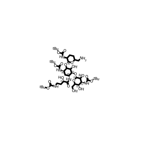 CC(C)(C)OC(=O)NCC[C@H](O)C(=O)N[C@@H]1C[C@@H](NC(=O)OC(C)(C)C)C(O[C@H]2OC(CN)CCC2NC(=O)OC(C)(C)C)C(O)[C@H]1O[C@H]1OC(CO)[C@@H](O)[C@H](NC(=O)OC(C)(C)C)C1O